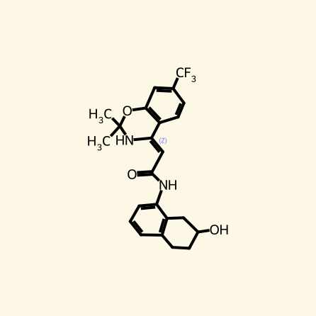 CC1(C)N/C(=C\C(=O)Nc2cccc3c2CC(O)CC3)c2ccc(C(F)(F)F)cc2O1